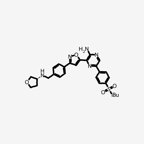 CCC(C)S(=O)(=O)c1ccc(-c2cnc(N)c(-c3cc(-c4ccc(CN[C@@H]5CCOC5)cc4)no3)n2)cc1